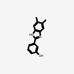 Cc1cc2nc(-c3cccc(O)c3)[nH]c2cc1C